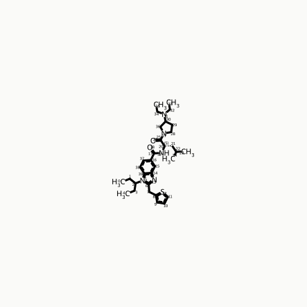 CCC(CC)n1c(Cc2cccs2)nc2cc(C(=O)N[C@@H](CC(C)C)C(=O)N3CCC(N(CC)CC)C3)ccc21